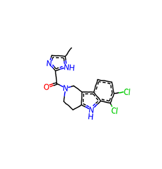 Cc1cnc(C(=O)N2CCc3[nH]c4c(Cl)c(Cl)ccc4c3C2)[nH]1